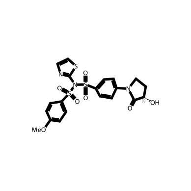 COc1ccc(S(=O)(=O)N(c2nccs2)S(=O)(=O)c2ccc(N3CC[C@H](O)C3=O)cc2)cc1